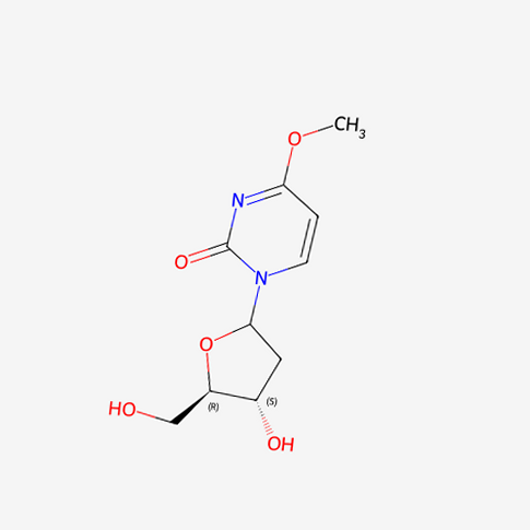 COc1ccn(C2C[C@H](O)[C@@H](CO)O2)c(=O)n1